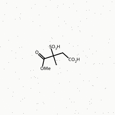 COC(=O)C(C)(CC(=O)O)S(=O)(=O)O